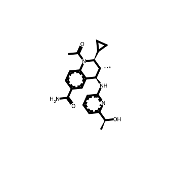 CC(=O)N1c2ccc(C(N)=O)cc2[C@H](Nc2cccc([C@H](C)O)n2)[C@@H](C)[C@@H]1C1CC1